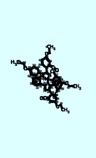 CCOC1=CC(=C=O)C(C2=NC(c3ccccc3Cl)(n3c(-c4ccccc4Cl)nc(C4C=CC(OCC)=CC4=C=O)c3C3C=CC(OCC)=CC3=C=O)N=C2C2C=CC(OCC)=CC2=C=O)C=C1